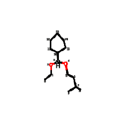 CCO[SiH](OCCC(C)C)C1CCCCC1